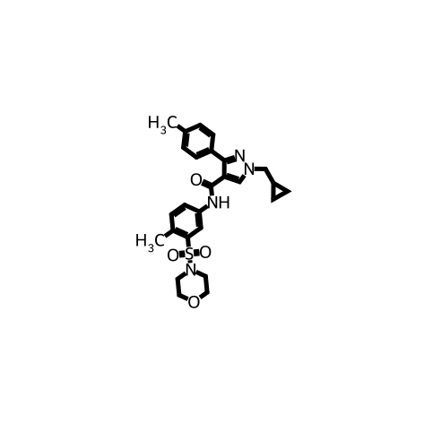 Cc1ccc(-c2nn(CC3CC3)cc2C(=O)Nc2ccc(C)c(S(=O)(=O)N3CCOCC3)c2)cc1